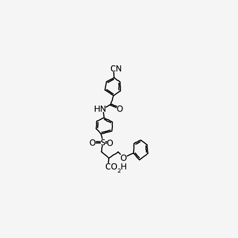 N#Cc1ccc(C(=O)Nc2ccc(S(=O)(=O)CC(COc3ccccc3)C(=O)O)cc2)cc1